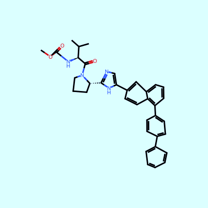 COC(=O)N[C@H](C(=O)N1CCC[C@H]1c1ncc(-c2ccc3c(-c4ccc(-c5ccccc5)cc4)cccc3c2)[nH]1)C(C)C